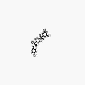 O=C(NCc1ccc(Br)cc1)C1CCN(S(=O)(=O)c2cc(Cl)cc(Cl)c2)CC1